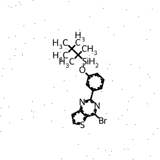 CC(C)(C)C(C)(C)[SiH2]Oc1cccc(-c2nc(Br)c3sccc3n2)c1